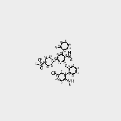 CNc1cnc(Cl)cc1-c1ccccc1C.CNc1cnc(N2CCN(S(C)(=O)=O)CC2)cc1-c1ccccc1C